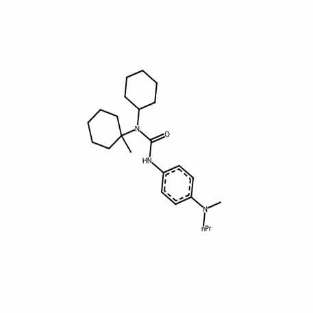 CCCN(C)c1ccc(NC(=O)N(C2CCCCC2)C2(C)CCCCC2)cc1